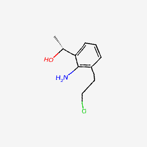 C[C@@H](O)c1cccc(CCCl)c1N